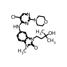 Cn1c(=O)n(CCC(C)(C)O)c2cc(Nc3nc(N4CCOCC4)ncc3Cl)ccc21